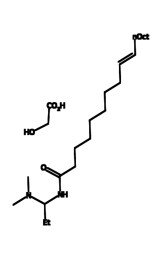 CCCCCCCCC=CCCCCCCCC(=O)NC(CC)N(C)C.O=C(O)CO